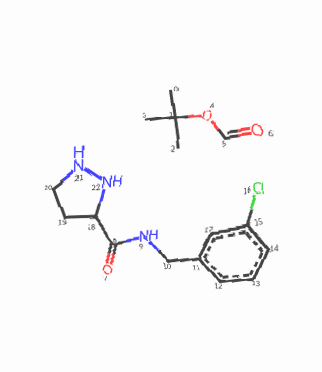 CC(C)(C)OC=O.O=C(NCc1cccc(Cl)c1)C1CCNN1